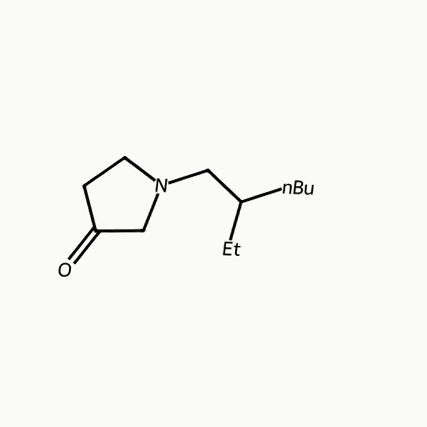 CCCCC(CC)CN1CCC(=O)C1